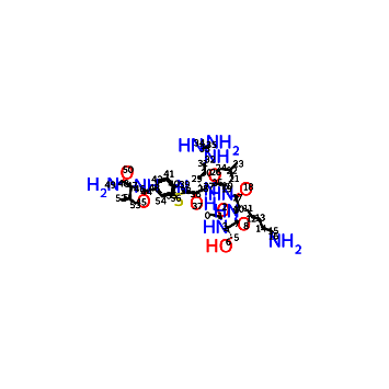 CC(=O)N[C@@H](CO)C(=O)N[C@@H](CCCCCN)C(=O)N[C@@H](CC(C)C)C(=O)N[C@@H](CCCNC(=N)N)C(=O)c1nc2ccc(C(=O)NC(C(N)=O)C(C)C)cc2s1